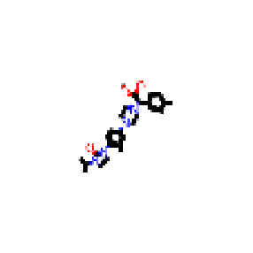 COC(=O)C(c1ccc(C)cc1)N1CCN(c2ccc(-n3ccn(C(C)C)c3=O)c(C)c2)CC1